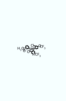 C[S+]([O-])c1cccc(NC(=O)c2cnc(C(F)(F)F)cc2Oc2ccc(OC(F)(F)F)cc2Cl)c1